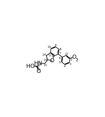 COc1cccc(-c2cccc3c2OC(CNC(=O)O)C3)c1